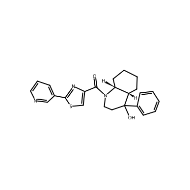 O=C(c1csc(-c2cccnc2)n1)N1CCC(O)(c2ccccc2)[C@H]2CCCC[C@H]21